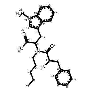 CCCCCN(C(=O)C(N)Cc1ccccc1)C(Cc1cn(N)c2ccccc12)C(=O)O